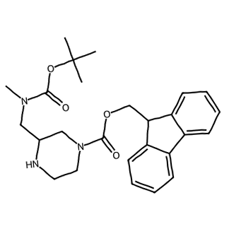 CN(CC1CN(C(=O)OCC2c3ccccc3-c3ccccc32)CCN1)C(=O)OC(C)(C)C